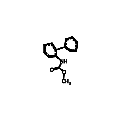 COC(=O)Nc1ccccc1-c1ccccc1